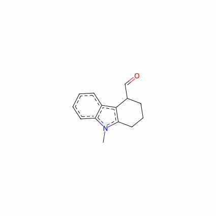 Cn1c2c(c3ccccc31)C(C=O)CCC2